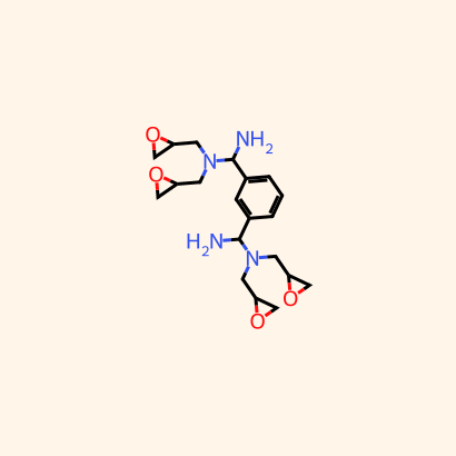 NC(c1cccc(C(N)N(CC2CO2)CC2CO2)c1)N(CC1CO1)CC1CO1